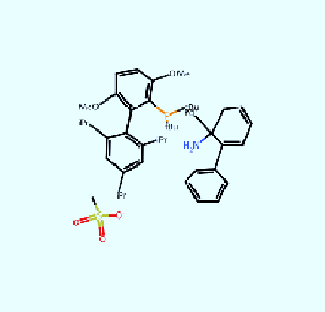 COc1ccc(OC)c(P(C(C)(C)C)C(C)(C)C)c1-c1c(C(C)C)cc(C(C)C)cc1C(C)C.CS(=O)(=O)[O-].N[C]1([Pd+])CC=CC=C1c1ccccc1